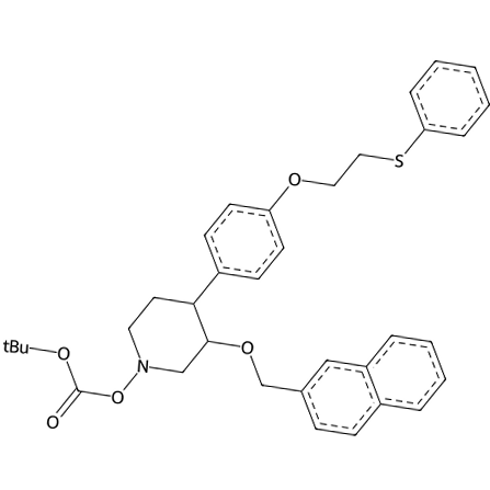 CC(C)(C)OC(=O)ON1CCC(c2ccc(OCCSc3ccccc3)cc2)C(OCc2ccc3ccccc3c2)C1